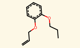 C=CCOc1ccccc1OCCC